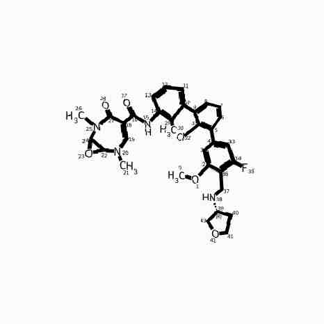 COc1cc(-c2cccc(-c3cccc(NC(=O)C4=CN(C)C5OC5N(C)C4=O)c3C)c2Cl)cc(F)c1CN[C@@H]1CCOC1